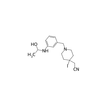 CC(O)Nc1cccc(CN2CCC(I)(CC#N)CC2)c1